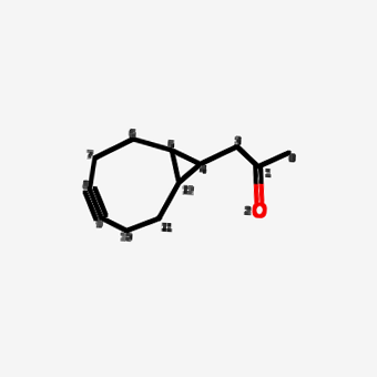 CC(=O)CC1C2CCC#CCCC21